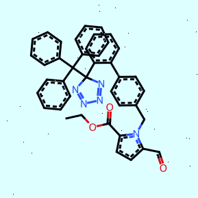 CCOC(=O)c1ccc(C=O)n1Cc1ccc(-c2ccccc2C2(C(c3ccccc3)(c3ccccc3)c3ccccc3)N=NN=N2)cc1